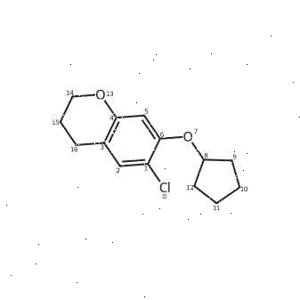 Clc1cc2c(cc1OC1CCCC1)OCCC2